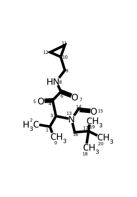 CC(C)C(C(=O)C(=O)NCC1CC1)N(C=O)CC(C)(C)C